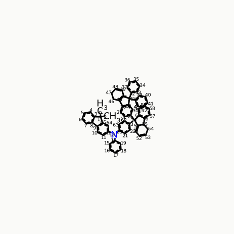 CC1(C)c2ccccc2-c2ccc(N(c3ccccc3)c3ccc([C@]4(c5ccc6c(c5)C(c5ccccc5)(c5ccccc5)C5=C6CCC=C5)C5=CC=CCC5c5ccccc54)cc3)cc21